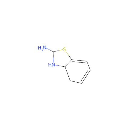 NC1NC2CC=CC=C2S1